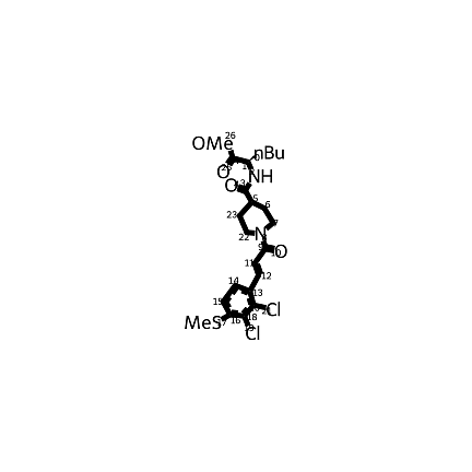 CCCC[C@H](NC(=O)C1CCN(C(=O)/C=C/c2ccc(SC)c(Cl)c2Cl)CC1)C(=O)OC